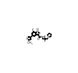 Cn1cc(-c2cc(F)c3[nH]nc(C(=O)NCC(F)(F)CN4CCCC4)c3c2)cn1